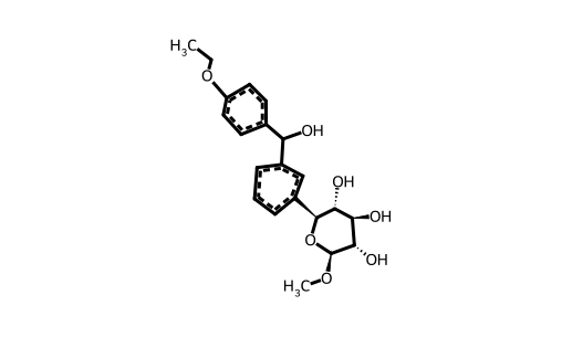 CCOc1ccc(C(O)c2cccc([C@@H]3O[C@H](OC)[C@@H](O)[C@H](O)[C@H]3O)c2)cc1